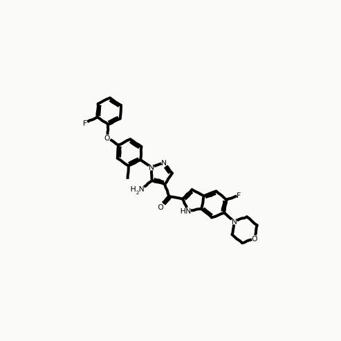 Cc1cc(Oc2ccccc2F)ccc1-n1ncc(C(=O)c2cc3cc(F)c(N4CCOCC4)cc3[nH]2)c1N